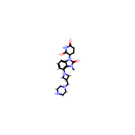 Cn1c(=O)n(C2CCC(=O)NC2=O)c2cccc(N3CC(CN4CCNCC4)C3)c21